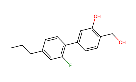 CCCc1ccc(-c2ccc(CO)c(O)c2)c(F)c1